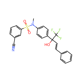 CN(c1ccc(C(O)(C=Cc2ccccc2)C(F)(F)F)cc1)S(=O)(=O)c1cccc(C#N)c1